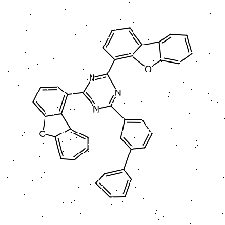 c1ccc(-c2cccc(-c3nc(-c4cccc5c4oc4ccccc45)nc(-c4cccc5oc6ccccc6c45)n3)c2)cc1